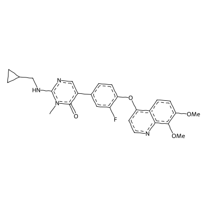 COc1ccc2c(Oc3ccc(-c4cnc(NCC5CC5)n(C)c4=O)cc3F)ccnc2c1OC